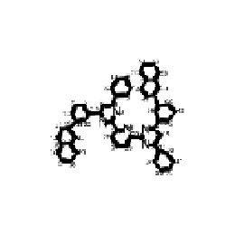 c1ccc(-c2cc(-c3cccc(-c4ccc5ccccc5c4)c3)nc(-c3cccc(-c4nc(-c5ccccc5)cc(-c5cccc(-c6ccc7ccccc7c6)c5)n4)n3)n2)cc1